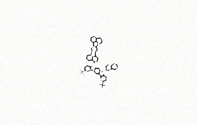 CC(C)(C)c1ccc2c(c1)c1cc3c4cc(C(C)(C)C)ccc4n(-c4ccc5c6cc7c(cc6c6cccc4c65)c4cccc5cccc7c54)c3cc1n2-c1ccc2ccccc2c1